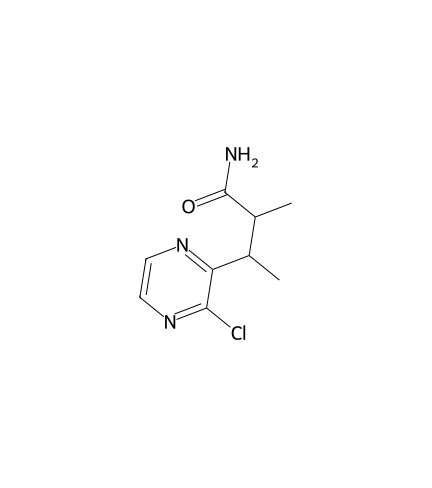 CC(C(N)=O)C(C)c1nccnc1Cl